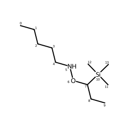 CCCCCNOC(CC)[Si](C)(C)C